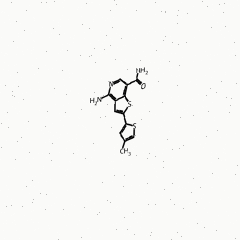 Cc1csc(-c2cc3c(N)ncc(C(N)=O)c3s2)c1